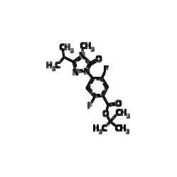 CC(C)c1nn(-c2cc(F)c(C(=O)OC(C)(C)C)cc2F)c(=O)n1C